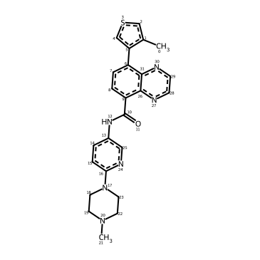 Cc1cscc1-c1ccc(C(=O)Nc2ccc(N3CCN(C)CC3)nc2)c2nccnc12